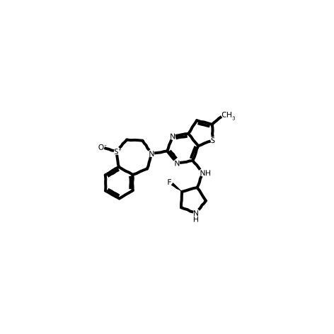 Cc1cc2nc(N3CC[S+]([O-])c4ccccc4C3)nc(NC3CNC[C@H]3F)c2s1